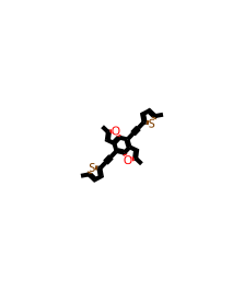 Cc1cc2c(C#Cc3ccc(C)s3)c3oc(C)cc3c(C#Cc3ccc(C)s3)c2o1